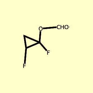 O=[C]OC1(F)CC1F